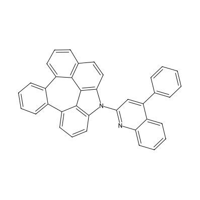 c1ccc(-c2cc(-n3c4cccc5c4c4c6c(cccc6ccc43)-c3ccccc3-5)nc3ccccc23)cc1